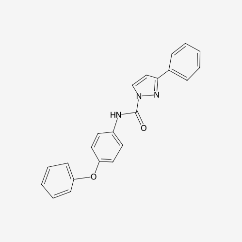 O=C(Nc1ccc(Oc2ccccc2)cc1)n1ccc(-c2ccccc2)n1